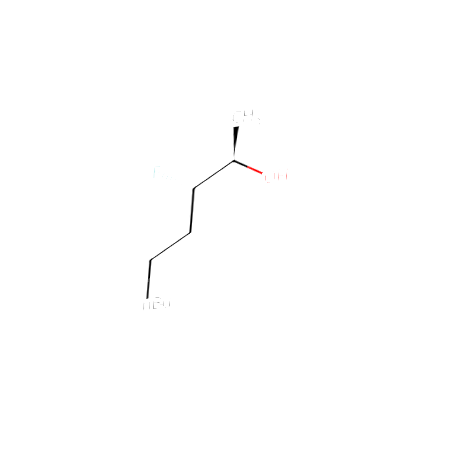 CCCCCC[C@H](F)[C@@H](C)O